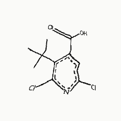 CC(C)(C)c1c(C(=O)O)cc(Cl)nc1Cl